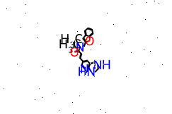 Cc1c(CN(C)C(=O)C=Cc2cnc3c(c2)CNCCN3)oc2ccccc12